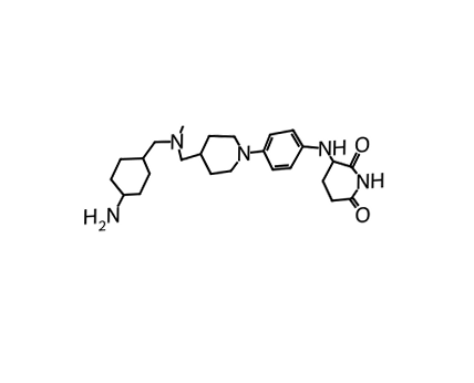 CN(CC1CCC(N)CC1)CC1CCN(c2ccc(NC3CCC(=O)NC3=O)cc2)CC1